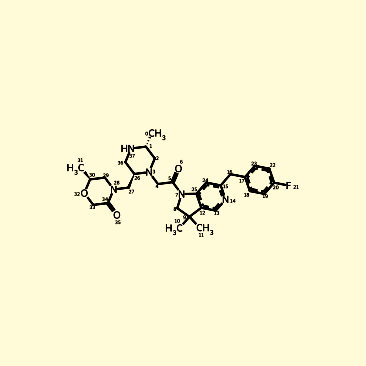 C[C@@H]1CN(CC(=O)N2CC(C)(C)c3cnc(Cc4ccc(F)cc4)cc32)[C@@H](CN2C[C@H](C)OCC2=O)CN1